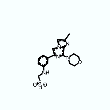 Cc1cn2cc(-c3cccc(NC[SH](=O)=O)c3)nc(N3CCOCC3)c2n1